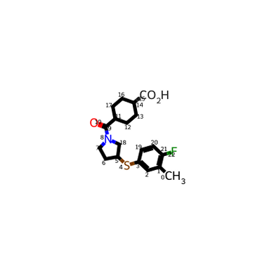 Cc1cc(SC2CCN(C(=O)C3CCC(C(=O)O)CC3)C2)ccc1F